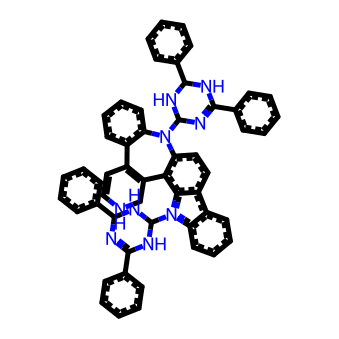 C1=CC2=C(CN1)c1c(ccc3c4ccccc4n(C4NC(c5ccccc5)=NC(c5ccccc5)N4)c13)N(C1N=C(c3ccccc3)NC(c3ccccc3)N1)c1ccccc12